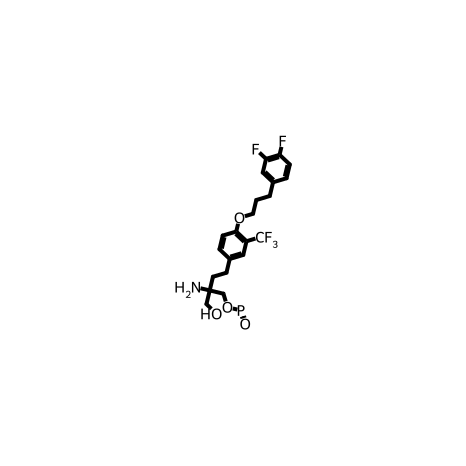 NC(CO)(CCc1ccc(OCCCc2ccc(F)c(F)c2)c(C(F)(F)F)c1)COP=O